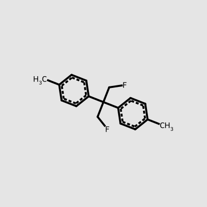 Cc1ccc(C(CF)(CF)c2ccc(C)cc2)cc1